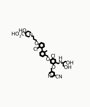 Cc1c(COc2cc(OCc3cncc(C#N)c3)c(CNC(CO)CO)cc2Cl)cccc1-c1cccc(OCCCN2CCC(O)(C(=O)O)CC2)c1Cl